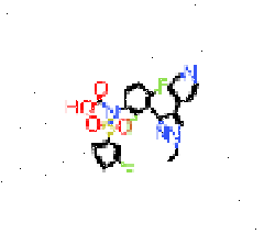 CCn1cc(-c2ccncc2)c(-c2c(F)ccc(N(C(=O)O)S(=O)(=O)c3cccc(F)c3)c2F)n1